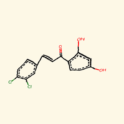 O=C(C=Cc1ccc(Cl)c(Cl)c1)c1ccc(O)cc1O